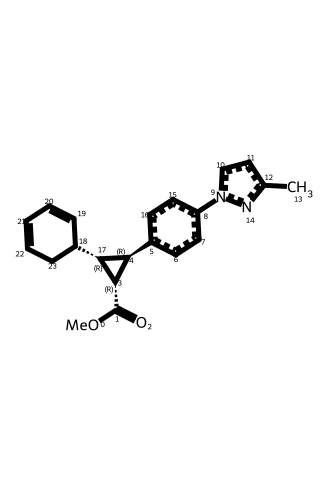 COC(=O)[C@H]1[C@H](c2ccc(-n3ccc(C)n3)cc2)[C@H]1C1C=CC=CC1